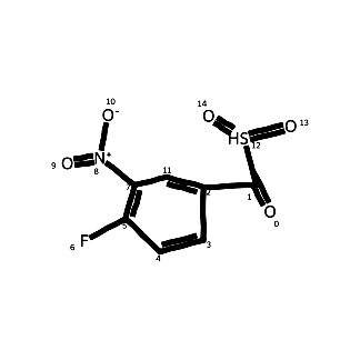 O=C(c1ccc(F)c([N+](=O)[O-])c1)[SH](=O)=O